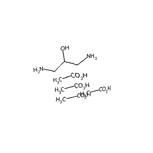 CC(=O)O.CC(=O)O.CC(=O)O.CC(=O)O.NCC(O)CN